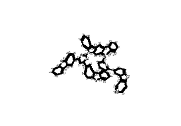 c1cc(-c2ccc3oc4ccncc4c3c2)nc(-n2c3ccccc3c3cc4c5ccccc5n(-c5nc(-c6ccc7sc8ccccc8c7c6)cc(-c6ccc7sc8ccccc8c7c6)n5)c4cc32)c1